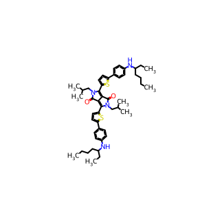 CCCCC(CC)Nc1ccc(-c2ccc(C3=C4C(=O)N(CC(C)C)C(c5ccc(-c6ccc(NC(CC)CCCC)cc6)s5)=C4C(=O)N3CC(C)C)s2)cc1